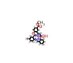 COC(=O)c1cccc(C(CC(=O)O)NC(=O)c2cc(I)ccc2NCc2ccccc2)c1